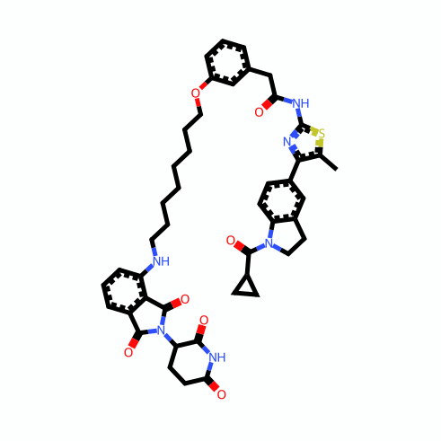 Cc1sc(NC(=O)Cc2cccc(OCCCCCCCCNc3cccc4c3C(=O)N(C3CCC(=O)NC3=O)C4=O)c2)nc1-c1ccc2c(c1)CCN2C(=O)C1CC1